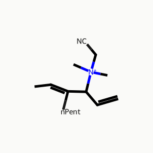 C=CC(/C(=C/C)CCCCC)[N+](C)(C)CC#N